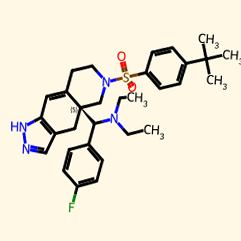 CCN(CC)C(c1ccc(F)cc1)[C@@]12Cc3cn[nH]c3C=C1CCN(S(=O)(=O)c1ccc(C(C)(C)C)cc1)C2